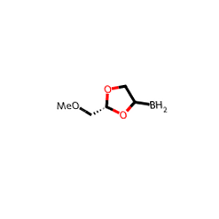 BC1CO[C@@H](COC)O1